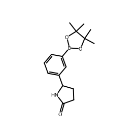 CC1(C)OB(c2cccc(C3CCC(=O)N3)c2)OC1(C)C